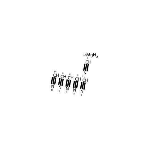 C#N.C#N.C#N.C#N.C#N.C#N.[MgH2]